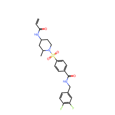 C=CC(=O)NC1CCN(S(=O)(=O)c2ccc(C(=O)NCc3ccc(F)c(F)c3)cc2)C(C)C1